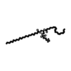 CC/C=C\C/C=C\C/C=C\C/C=C\CCCCC(=O)O[C@H](COC(=O)CCCCCCCCCCCCCCCCCCCCC)COP(=O)([O-])OCC[N+](C)(C)C